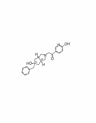 O=C(CN1C[C@@H]2C[C@](O)(Cc3ccccc3)C[C@@H]2C1)c1ccc(O)nc1